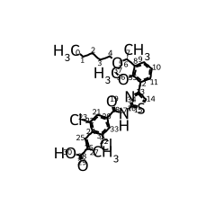 CCCCCO[C@H](C)c1cccc(-c2csc(NC(=O)c3cc(Cl)c(/C=C(\C)C(=O)O)c(Cl)c3)n2)c1OC